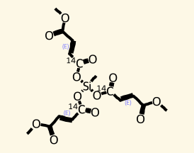 COC(=O)/C=C/[14C](=O)O[Si](C)(O[14C](=O)/C=C/C(=O)OC)O[14C](=O)/C=C/C(=O)OC